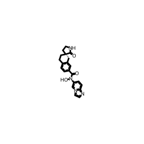 O=C(c1ccc2c(c1)C[C@@]1(CCNC1=O)CC2)N(O)c1ccc2nccn2c1